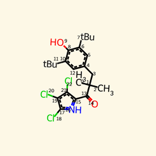 CC(C)(Cc1cc(C(C)(C)C)c(O)c(C(C)(C)C)c1)C(=O)c1[nH]c(Cl)c(Cl)c1Cl